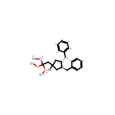 CCOC(CC1(C#N)C[C@H](Cc2ccccc2)[C@@H](Cc2ccccc2)C1)(OCC)OCC